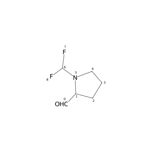 O=CC1CCCN1C(F)F